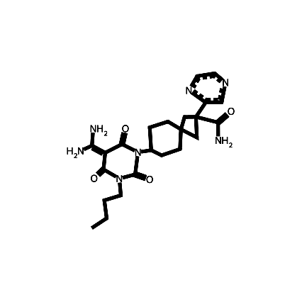 CCCCN1C(=O)C(=C(N)N)C(=O)N(C2CCC3(CC2)CC(C(N)=O)(c2cnccn2)C3)C1=O